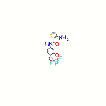 Nc1ccsc1C(=O)Nc1ccc2c(c1)OC(F)(F)C(F)(F)O2